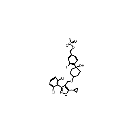 CS(=O)(=O)OCc1ccc(C2(O)CCC(OCc3c(-c4c(Cl)cccc4Cl)noc3C3CC3)CC2)c(F)c1